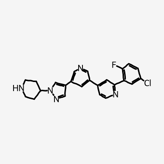 Fc1ccc(Cl)cc1-c1cc(-c2cncc(-c3cnn(C4CCNCC4)c3)c2)ccn1